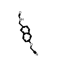 N#CCOc1ccc2cc(CNC=O)ccc2c1